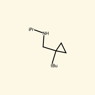 CC(C)NCC1(C(C)(C)C)CC1